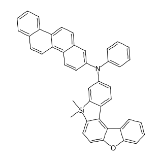 C[Si]1(C)c2cc(N(c3ccccc3)c3ccc4c(ccc5c6ccccc6ccc45)c3)ccc2-c2c1ccc1oc3ccccc3c21